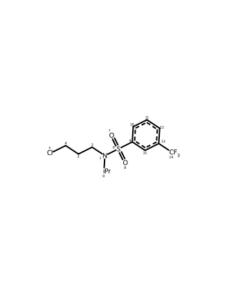 CC(C)N(CCCCl)S(=O)(=O)c1cccc(C(F)(F)F)c1